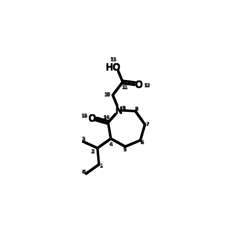 CCC(C)C1CCCCN(CC(=O)O)C1=O